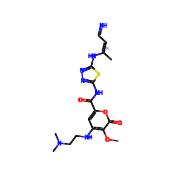 COc1c(NCCN(C)C)cc(C(=O)Nc2nnc(N/C(C)=C\C=N)s2)oc1=O